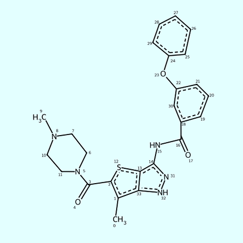 Cc1c(C(=O)N2CCN(C)CC2)sc2c(NC(=O)c3cccc(Oc4ccccc4)c3)n[nH]c12